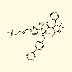 CC1(C)OC(=O)N(C(=O)[C@@](C)(OCc2ccc(-c3ccccc3)cc2)[C@@H](O)c2ccn(COCC[Si](C)(C)C)n2)[C@H]1c1ccccc1